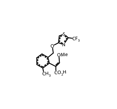 CO/C=C(/C(=O)O)c1c(C)cccc1COc1csc(C(F)(F)F)n1